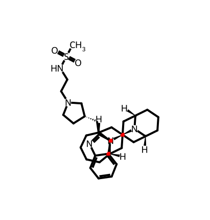 CS(=O)(=O)NCCN1CC[C@@H](Cc2nc3ccccc3n2[C@@H]2C[C@H]3CCC[C@@H](C2)N3[C@H]2C[C@@H]3CCCC[C@@H](C3)C2)C1